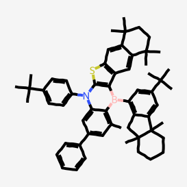 Cc1cc(-c2ccccc2)cc2c1B(c1cc(C(C)(C)C)cc3c1CC1(C)CCCCC31C)c1c(sc3cc4c(cc13)C(C)(C)CCC4(C)C)N2c1ccc(C(C)(C)C)cc1